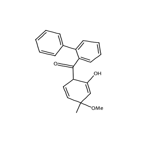 COC1(C)C=CC(C(=O)c2ccccc2-c2ccccc2)C(O)=C1